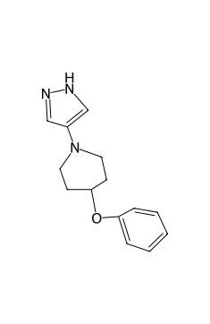 c1ccc(OC2CCN(c3cn[nH]c3)CC2)cc1